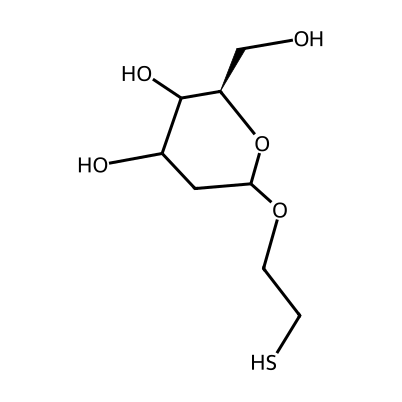 OC[C@H]1OC(OCCS)CC(O)C1O